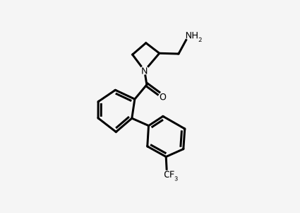 NCC1CCN1C(=O)c1ccccc1-c1cccc(C(F)(F)F)c1